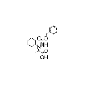 CC(C(=O)O)N(NC(=O)OCc1ccccc1)C1CCCCC1